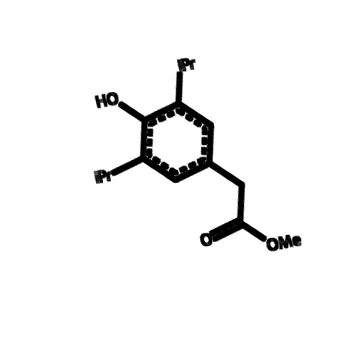 COC(=O)Cc1cc(C(C)C)c(O)c(C(C)C)c1